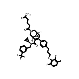 NC(=O)CCCC(=O)N1C[C@H]2CC(c3ccc(CCCOc4c(F)ccc(F)c4F)cc3)=C(C(=O)N(Cc3cccc(C(F)(F)F)c3)C3CC3)[C@@H](C1)N2